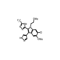 COCCn1c(-c2nnc(C(F)(F)F)[nH]2)c(-c2cn[nH]c2)c2cc(OC)c(Cl)cc21